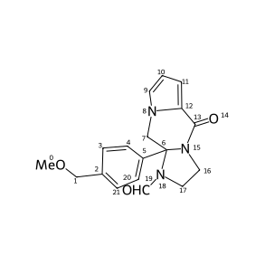 COCc1ccc(C23Cn4cccc4C(=O)N2CCN3C=O)cc1